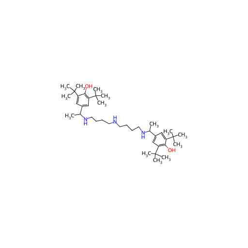 CC(NCCCCNCCCCNC(C)c1cc(C(C)(C)C)c(O)c(C(C)(C)C)c1)c1cc(C(C)(C)C)c(O)c(C(C)(C)C)c1